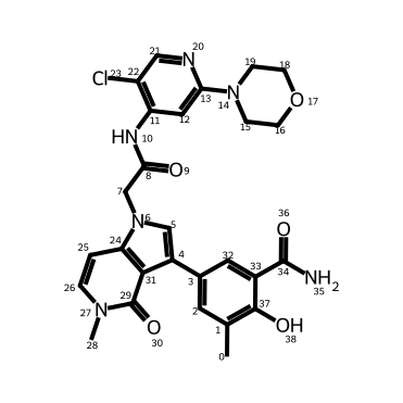 Cc1cc(-c2cn(CC(=O)Nc3cc(N4CCOCC4)ncc3Cl)c3ccn(C)c(=O)c23)cc(C(N)=O)c1O